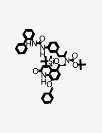 CC(Cc1cccc(NC(=O)Nc2ccccc2-c2ccccc2)c1)N(C[C@H](O[Si](C)(C)C(C)(C)C)c1ccc(OCc2ccccc2)c2[nH]c(=O)ccc12)C(=O)OC(C)(C)C